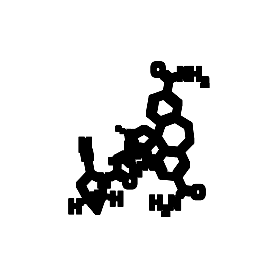 Cc1nnc(C2(C[C@@H](C)NCC(=O)N3C(C#N)C[C@@H]4C[C@@H]43)c3ccc(C(N)=O)cc3CCc3cc(C(N)=O)ccc32)o1